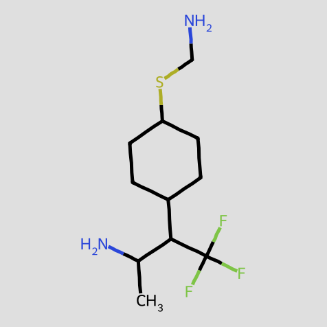 CC(N)C(C1CCC(SCN)CC1)C(F)(F)F